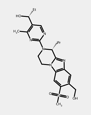 CC[C@@H](O)c1cnc(N2CCn3c(nc4cc(CO)c(S(C)(=O)=O)cc43)[C@H]2C(C)C)nc1C